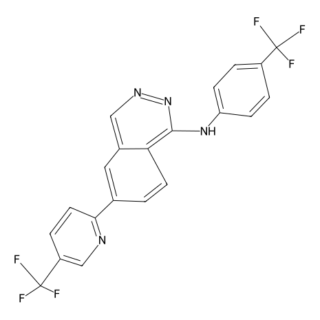 FC(F)(F)c1ccc(Nc2nncc3cc(-c4ccc(C(F)(F)F)cn4)ccc23)cc1